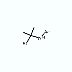 [CH2]C(=O)NC(C)(C)CC